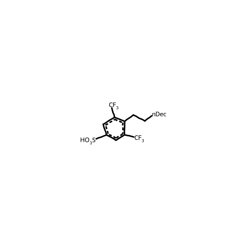 CCCCCCCCCCCCc1c(C(F)(F)F)cc(S(=O)(=O)O)cc1C(F)(F)F